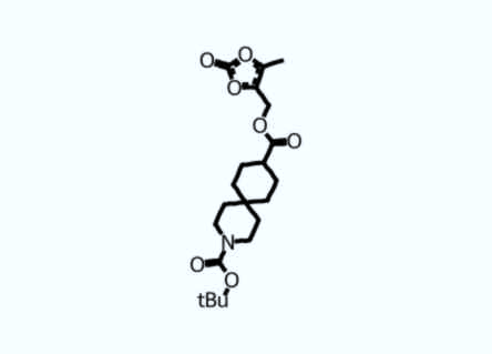 Cc1oc(=O)oc1COC(=O)C1CCC2(CC1)CCN(C(=O)OC(C)(C)C)CC2